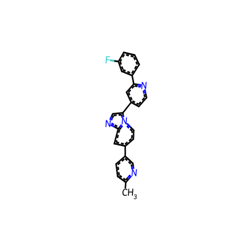 Cc1ccc(-c2ccn3c(-c4ccnc(-c5cccc(F)c5)c4)cnc3c2)cn1